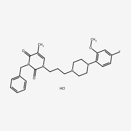 COc1cc(F)ccc1N1CCN(CCCn2cc(C)c(=O)n(Cc3ccccc3)c2=O)CC1.Cl